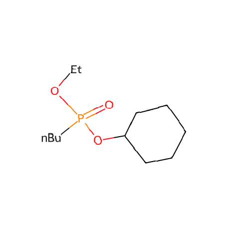 CCCCP(=O)(OCC)OC1CCCCC1